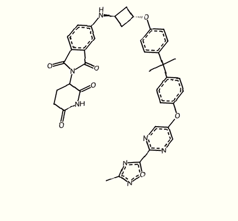 Cc1noc(-c2ncc(Oc3ccc(C(C)(C)c4ccc(O[C@H]5C[C@H](Nc6ccc7c(c6)C(=O)N(C6CCC(=O)NC6=O)C7=O)C5)cc4)cc3)cn2)n1